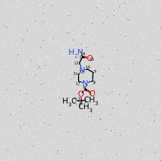 CC(C)(C)OC(=O)N1CCCN(CC(N)=O)CC1